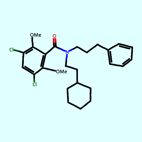 COc1c(Cl)cc(Cl)c(OC)c1C(=O)N(CCCc1ccccc1)CCC1CCCCC1